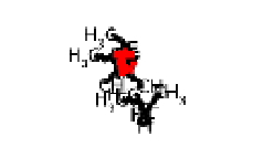 CCCCCCC(F)(F)C(F)(F)[C](F)(F)[Al-]([C](F)(F)C(F)(F)C(F)(F)CCCCCC)([C](F)(F)C(F)(F)C(F)(F)CCCCCC)[C](F)(F)C(F)(F)C(F)(F)CCCCCC.CCCCCC[NH+](CCC(CC)CCCC)c1cc(F)ccc1F